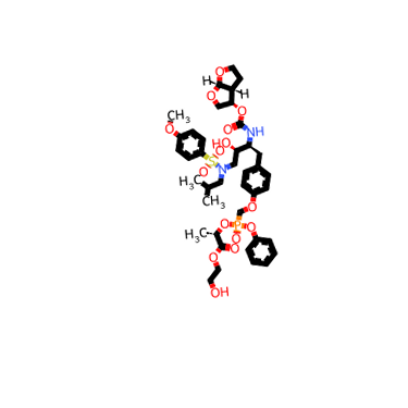 COc1ccc(S(=O)(=O)N(CC(C)C)C[C@@H](O)[C@H](Cc2ccc(OCP(=O)(Oc3ccccc3)O[C@@H](C)C(=O)OCCO)cc2)NC(=O)O[C@H]2CO[C@H]3OCC[C@H]32)cc1